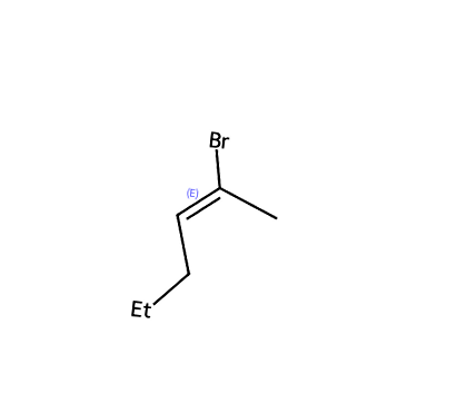 CCC/C=C(\C)Br